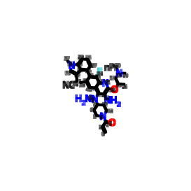 C=CC(=O)N1CCC(N(N)c2c(N)c(OC(C)CN(C)CCC)nc3c(F)c(-c4cccc5c4c(CC#N)cn5C)c(C)cc23)CC1